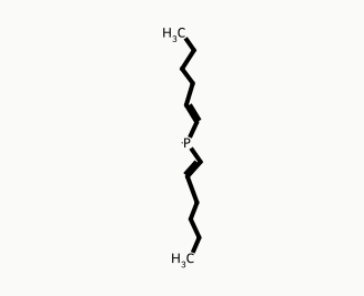 CCCCC=C[P]C=CCCCC